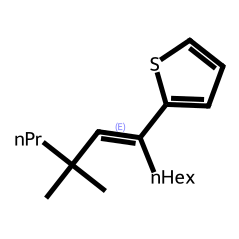 CCCCCC/C(=C\C(C)(C)CCC)c1cccs1